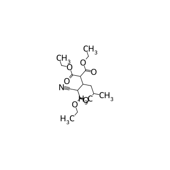 CCOC(=O)C(C#N)C(CC(C)C)C(C(=O)OCC)C(=O)OCC